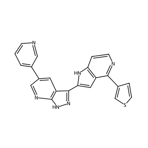 c1cncc(-c2cnc3[nH]nc(-c4cc5c(-c6ccsc6)nccc5[nH]4)c3c2)c1